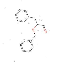 O=[C]C(Cc1ccccc1)OCc1ccccc1